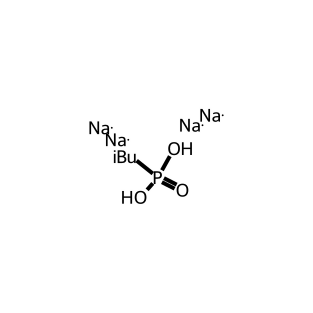 CCC(C)P(=O)(O)O.[Na].[Na].[Na].[Na]